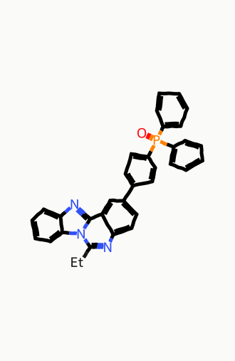 CCc1nc2ccc(-c3ccc(P(=O)(c4ccccc4)c4ccccc4)cc3)cc2c2nc3ccccc3n12